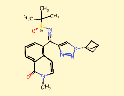 Cn1ccc2c(/C(=N\[S@@+]([O-])C(C)(C)C)c3cn(C45CC(C4)C5)nn3)cccc2c1=O